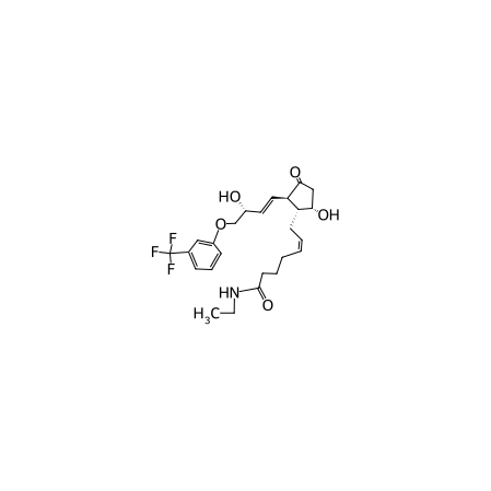 CCNC(=O)CCC/C=C\C[C@H]1[C@@H](O)CC(=O)[C@@H]1/C=C/[C@@H](O)COc1cccc(C(F)(F)F)c1